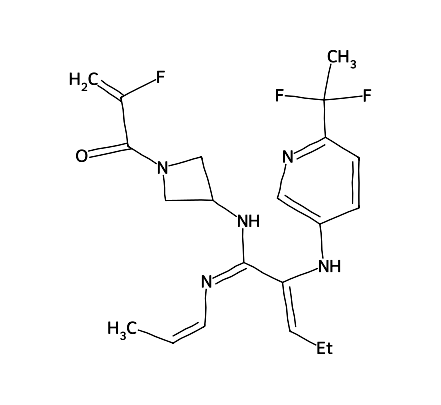 C=C(F)C(=O)N1CC(NC(=N/C=C\C)/C(=C/CC)Nc2ccc(C(C)(F)F)nc2)C1